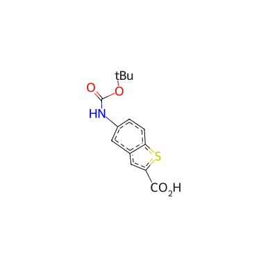 CC(C)(C)OC(=O)Nc1ccc2sc(C(=O)O)cc2c1